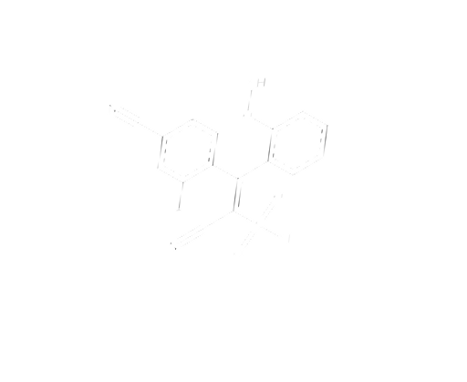 COc1ccccc1C(=C(C#N)S(C)(=O)=O)c1ccc(C#N)cc1F